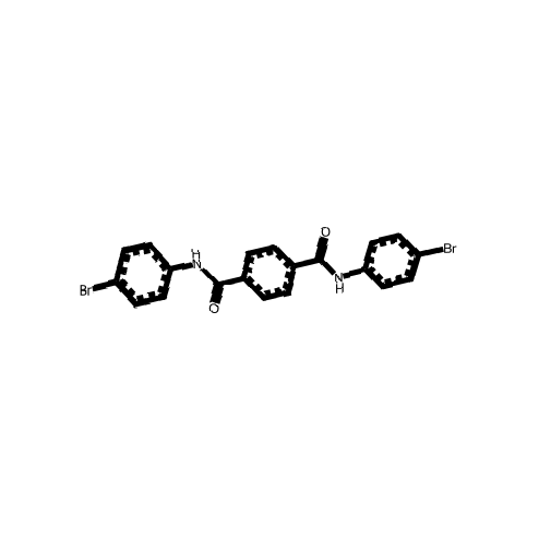 O=C(Nc1ccc(Br)cc1)c1ccc(C(=O)Nc2ccc(Br)cc2)cc1